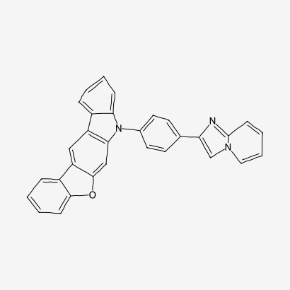 c1ccc2c(c1)oc1cc3c(cc12)c1ccccc1n3-c1ccc(-c2cn3ccccc3n2)cc1